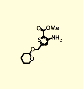 COC(=O)c1sc(COC2CCCCO2)cc1N